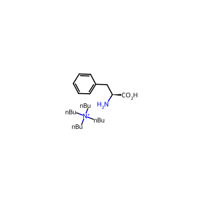 CCCC[N+](CCCC)(CCCC)CCCC.N[C@@H](Cc1ccccc1)C(=O)O